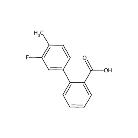 Cc1ccc(-c2ccccc2C(=O)O)cc1F